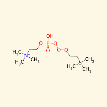 C[N+](C)(C)CCOP(=O)(O)OOOCC[Si](C)(C)C